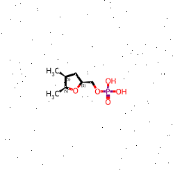 C[C@@H]1O[C@H](COP(=O)(O)O)C[C@@H]1C